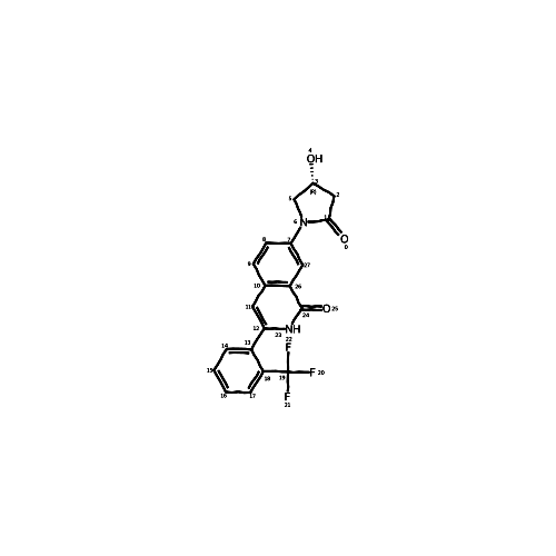 O=C1C[C@@H](O)CN1c1ccc2cc(-c3ccccc3C(F)(F)F)[nH]c(=O)c2c1